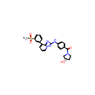 CS(=O)(=O)c1cccc(-c2cccn3nc(Nc4ccc(C(=O)N5CC[C@H](O)C5)cc4)nc23)c1